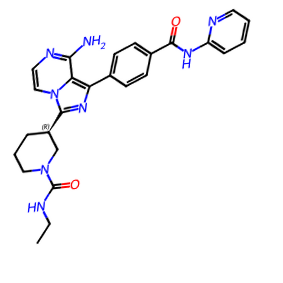 CCNC(=O)N1CCC[C@@H](c2nc(-c3ccc(C(=O)Nc4ccccn4)cc3)c3c(N)nccn23)C1